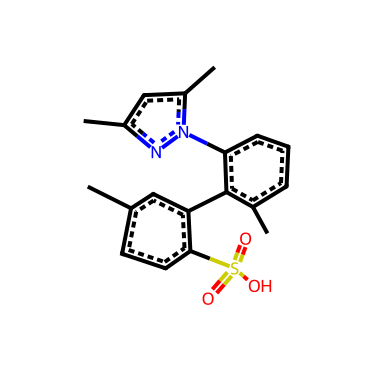 Cc1ccc(S(=O)(=O)O)c(-c2c(C)cccc2-n2nc(C)cc2C)c1